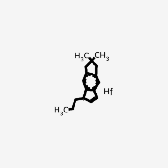 CCC[C]1C=Cc2cc3c(cc21)CC(C)(C)C3.[Hf]